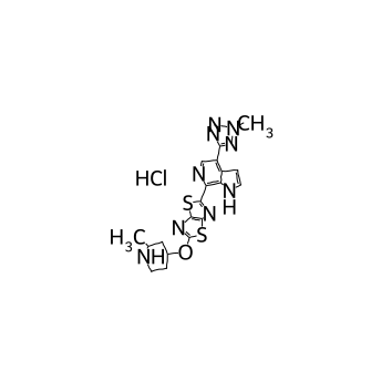 CC1CC(Oc2nc3sc(-c4ncc(-c5nnn(C)n5)c5cc[nH]c45)nc3s2)CCN1.Cl